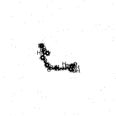 O=C(NC(c1ccccc1)c1cccc(OCc2ccc(C(=O)OCc3cnn(CCCNC[C@@H](O)c4ccc(O)c5[nH]c(=O)ccc45)c3)cc2)c1)O[C@H]1CN2CCC1CC2